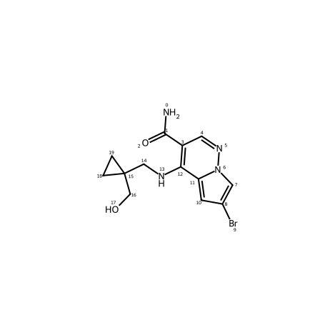 NC(=O)c1cnn2cc(Br)cc2c1NCC1(CO)CC1